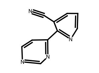 N#Cc1cccnc1-c1ccncn1